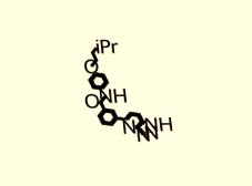 CC(C)CCOc1ccc(NC(=O)c2cccc(-c3ccc4[nH]nnc4n3)c2)cc1